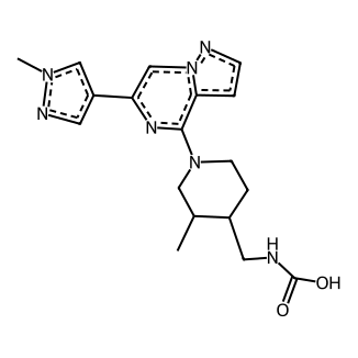 CC1CN(c2nc(-c3cnn(C)c3)cn3nccc23)CCC1CNC(=O)O